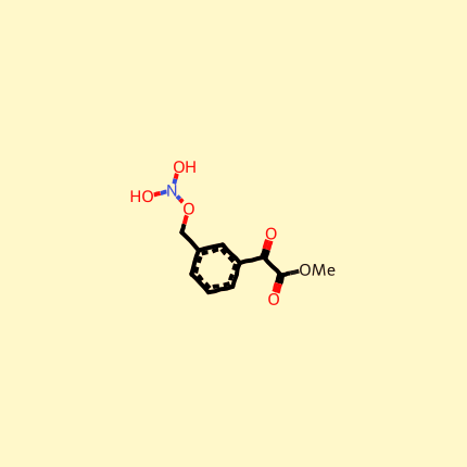 COC(=O)C(=O)c1cccc(CON(O)O)c1